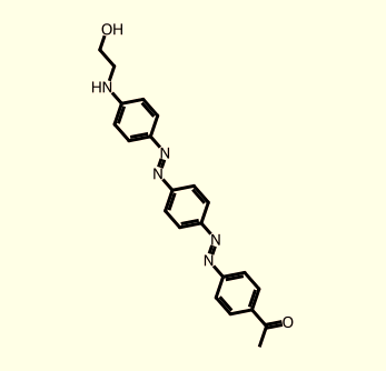 CC(=O)c1ccc(N=Nc2ccc(N=Nc3ccc(NCCO)cc3)cc2)cc1